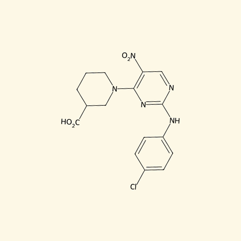 O=C(O)C1CCCN(c2nc(Nc3ccc(Cl)cc3)ncc2[N+](=O)[O-])C1